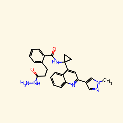 Cn1cc(-c2cc(C3(NC(=O)c4ccccc4CCC(=O)NN)CC3)c3ccccc3n2)cn1